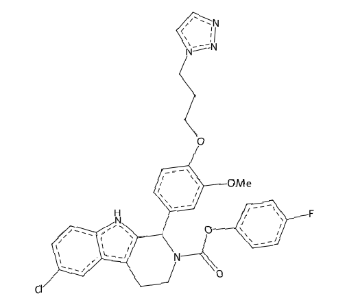 COc1cc(C2c3[nH]c4ccc(Cl)cc4c3CCN2C(=O)Oc2ccc(F)cc2)ccc1OCCCn1ccnn1